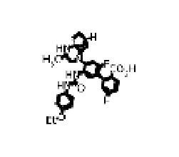 CCOc1ccc(NC(=O)Nc2cc(-c3cc(F)ccc3C(=O)O)c(F)cc2N2CC(C)N[C@]34CC[C@H](CC23)C4)cc1